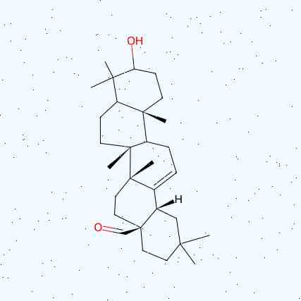 CC1(C)CC[C@]2(C=O)CC[C@@]3(C)C(=CCC4[C@@]5(C)CCC(O)C(C)(C)C5CC[C@]43C)[C@@H]2C1